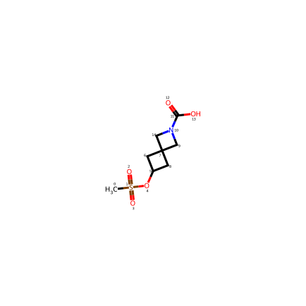 CS(=O)(=O)OC1CC2(C1)CN(C(=O)O)C2